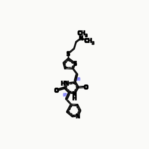 CN(C)CCSc1ccc(/C=c2\[nH]c(=O)/c(=C/c3ccncc3)[nH]c2=O)s1